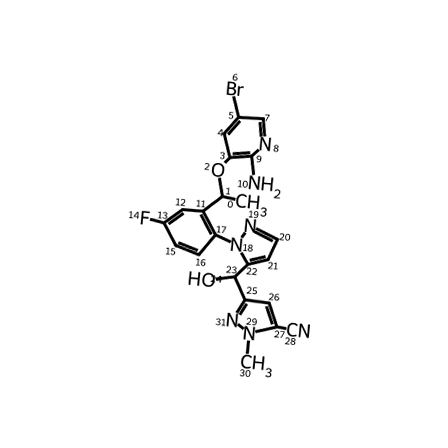 CC(Oc1cc(Br)cnc1N)c1cc(F)ccc1-n1nccc1C(O)c1cc(C#N)n(C)n1